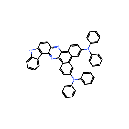 c1ccc(N(c2ccccc2)c2ccc3c(c2)c2cc(N(c4ccccc4)c4ccccc4)ccc2c2nc4c(ccc5[nH]c6ccccc6c54)nc32)cc1